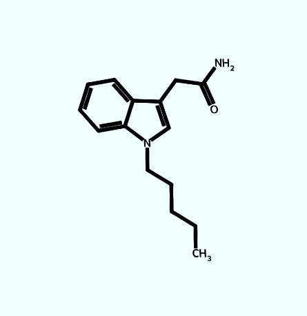 CCCCCn1cc(CC(N)=O)c2ccccc21